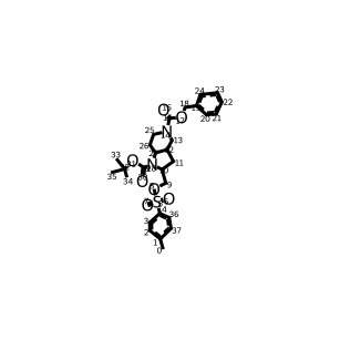 Cc1ccc(S(=O)(=O)OCC2CC3CN(C(=O)OCc4ccccc4)CCC3N2C(=O)OC(C)(C)C)cc1